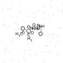 COc1ccccc1C1=C[C@H](C)C(=O)C2=C1OCN2NC(=O)c1n[nH]c(Cc2ccccc2)n1